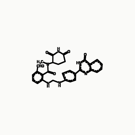 CN(C(=O)c1c(C=O)cccc1NCNc1ccc(-c2nc3ccccc3c(=O)[nH]2)cc1)C1CCC(=O)NC1=O